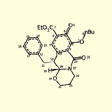 CCCCOc1c2n(cc(C(=O)OCC)c1=O)[C@@H](Cc1ccccc1)[C@H]1OCCCN1C2=O